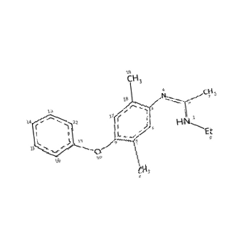 CCNC(C)=Nc1cc(C)c(Oc2ccccc2)cc1C